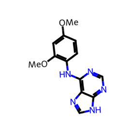 COc1ccc(Nc2ncnc3[nH]cnc23)c(OC)c1